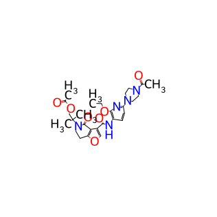 CCOc1nc(N2CCN(C(C)=O)CC2)ccc1NC(=O)c1coc2c1C(=O)N(C(C)(C)COC(C)=O)CC2